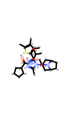 Cc1sc([C@H](CCN2C3CCC2CC(n2c(C)nnc2C(C)C)C3)NC(=O)C2CCCC2)c(C)c1C